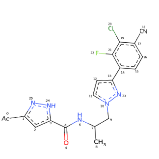 CC(=O)c1cc(C(=O)NC(C)Cn2ccc(-c3ccc(C#N)c(Cl)c3F)n2)[nH]n1